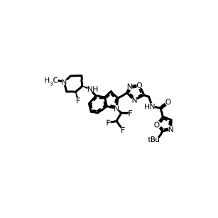 CN1CC[C@@H](Nc2cccc3c2cc(-c2noc(CNC(=O)c4cnc(C(C)(C)C)o4)n2)n3C(F)C(F)F)[C@@H](F)C1